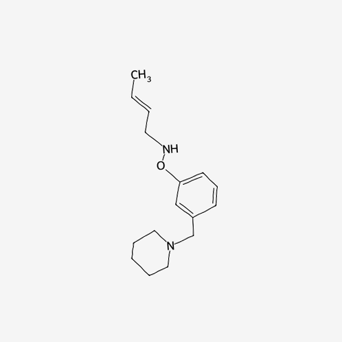 CC=CCNOc1cccc(CN2CCCCC2)c1